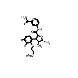 COCCOc1c(C2C(C(=O)Nc3ccnc(C(N)=O)c3)O[C@H](C)[C@H]2C)ccc(F)c1F